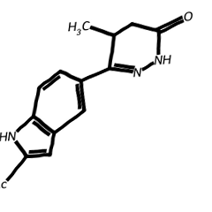 CC(=O)c1cc2cc(C3=NNC(=O)CC3C)ccc2[nH]1